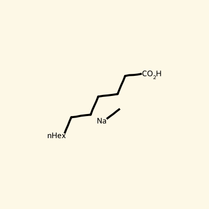 CCCCCCCCCCCC(=O)O.[CH3][Na]